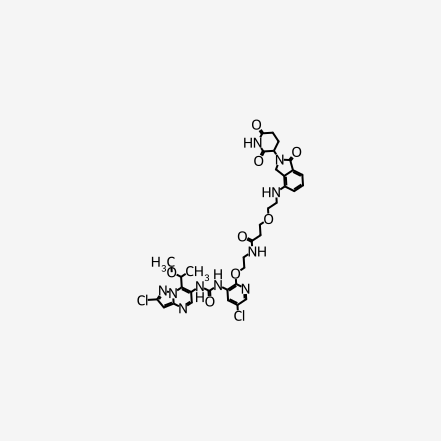 COC(C)c1c(NC(=O)Nc2cc(Cl)cnc2OCCNC(=O)CCOCCNc2cccc3c2CN(C2CCC(=O)NC2=O)C3=O)cnc2cc(Cl)nn12